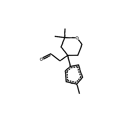 Cc1ccc(C2(CC=O)CCOC(C)(C)C2)cc1